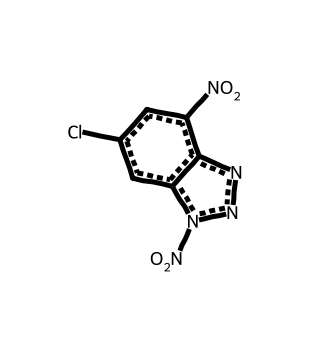 O=[N+]([O-])c1cc(Cl)cc2c1nnn2[N+](=O)[O-]